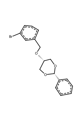 Brc1cccc(CO[C@H]2CO[C@@H](c3ccccc3)OC2)c1